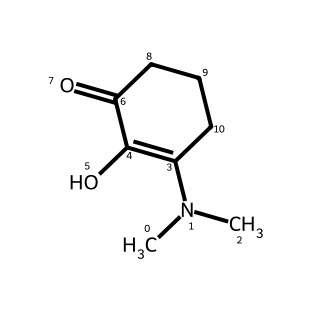 CN(C)C1=C(O)C(=O)CCC1